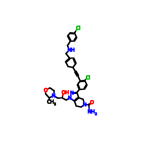 C[C@H]1COCCN1C[C@@H](O)Cn1nc(-c2ccc(Cl)c(C#CC3C=CC(CNCc4ccc(Cl)cc4)=CC3)c2)c2c1CCN(C(N)=O)C2